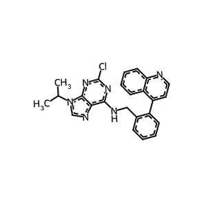 CC(C)n1cnc2c(NCc3ccccc3-c3ccnc4ccccc34)nc(Cl)nc21